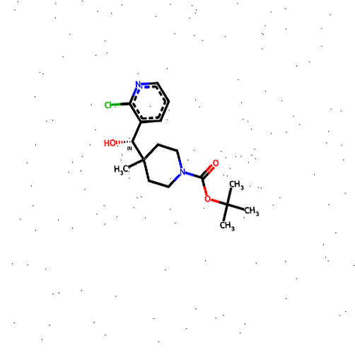 CC(C)(C)OC(=O)N1CCC(C)([C@H](O)c2cccnc2Cl)CC1